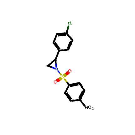 O=[N+]([O-])c1ccc(S(=O)(=O)N2CC2c2ccc(Cl)cc2)cc1